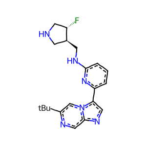 CC(C)(C)c1cn2c(-c3cccc(NC[C@H]4CNC[C@@H]4F)n3)cnc2cn1